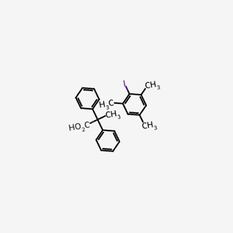 CC(C(=O)O)(c1ccccc1)c1ccccc1.Cc1cc(C)c(I)c(C)c1